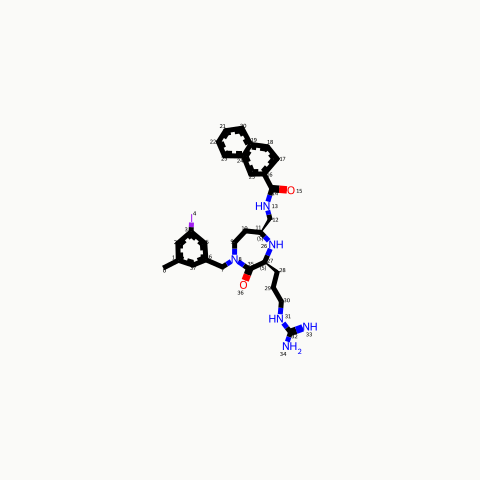 Cc1cc(I)cc(CN2CC[C@@H](CNC(=O)c3ccc4ccccc4c3)N[C@@H](CCCNC(=N)N)C2=O)c1